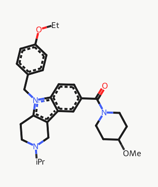 CCOc1ccc(Cn2c3c(c4cc(C(=O)N5CCC(OC)CC5)ccc42)CN(C(C)C)CC3)cc1